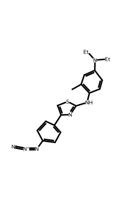 CCN(CC)c1ccc(Nc2nc(-c3ccc(N=[N+]=[N-])cc3)cs2)c(C)c1